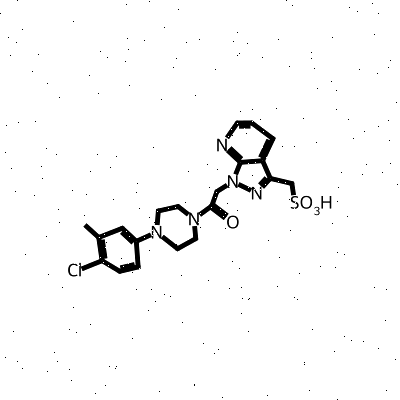 Cc1cc(N2CCN(C(=O)Cn3nc(CS(=O)(=O)O)c4cccnc43)CC2)ccc1Cl